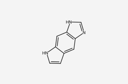 c1cc2cc3nc[nH]c3cc2[nH]1